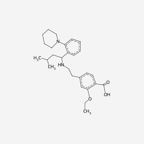 CCOc1cc(CCNC(CC(C)C)c2ccccc2N2CCCCC2)ccc1C(=O)O